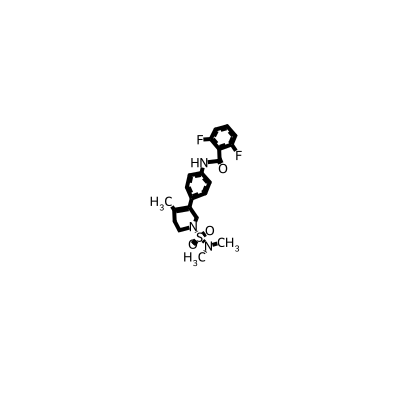 CC1=C(c2ccc(NC(=O)c3c(F)cccc3F)cc2)CN(S(=O)(=O)N(C)C)CC1